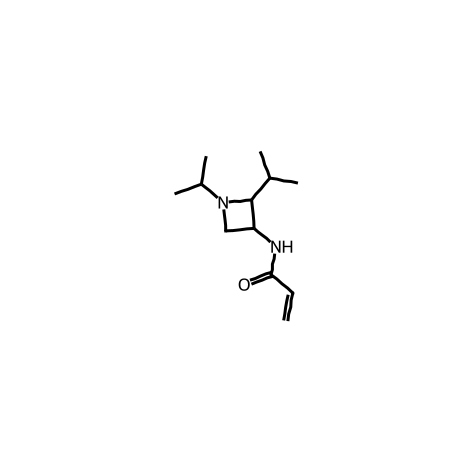 C=CC(=O)NC1CN(C(C)C)C1C(C)C